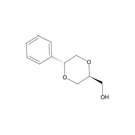 OC[C@H]1CO[C@H](c2ccccc2)CO1